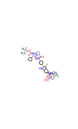 CC(C)OC(=O)N[C@@H](C(=O)N1CCC[C@H]1C(=O)Nc1ccc(-c2[nH]c3ccc(NC(=O)[C@@]4(C(C)(C)C)CCCN4C(=O)O)cc3c2F)cc1)c1ccccc1